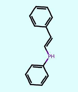 C(=C\c1ccccc1)/Pc1ccccc1